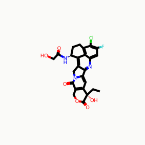 CC[C@@]1(O)C(=O)OCc2c1cc1n(c2=O)Cc2c-1nc1cc(F)c(Cl)c3c1c2[C@H](NC(=O)CO)CC3